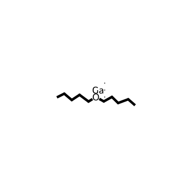 CCCCCOCCCCC.[Ga]